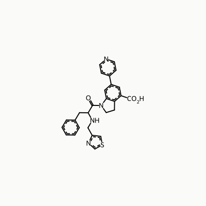 O=C(O)c1cc(-c2ccncc2)cc2c1CCN2C(=O)C(Cc1ccccc1)NCc1cscn1